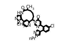 CCCn1cc(-c2ccc(Cl)cc2-c2cc(=O)n(C3CCCC(C)C(=O)Nc4cnn(C)c4-c4ccnc3c4)cn2)cn1